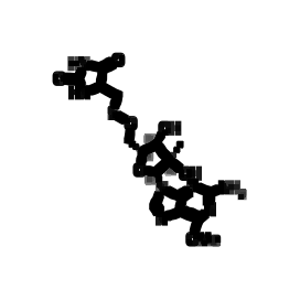 COc1nc(N)nc2c1ncn2[C@@H]1O[C@H](COSCC2NC(=O)NC2=O)[C@@H](O)[C@@]1(C)O